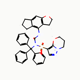 C[C@H]1COc2cc3c(c(NC(=O)N(C(c4ccccc4)(c4ccccc4)c4ccccc4)S(=O)(=O)c4cnn5c4OCCC5)c21)CCC3